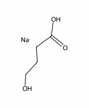 O=C(O)CCCO.[Na]